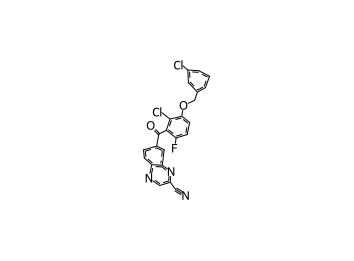 N#Cc1cnc2ccc(C(=O)c3c(F)ccc(OCc4cccc(Cl)c4)c3Cl)cc2n1